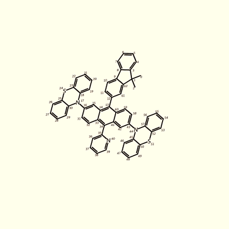 CC1(C)c2ccccc2-c2ccc(-c3c4cc(N5c6ccccc6Sc6ccccc65)ccc4c(-c4ccccn4)c4cc(N5c6ccccc6Sc6ccccc65)ccc34)cc21